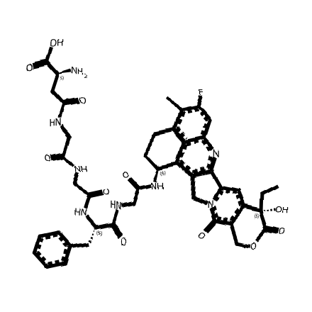 CC[C@@]1(O)C(=O)OCc2c1cc1n(c2=O)Cc2c-1nc1cc(F)c(C)c3c1c2[C@@H](NC(=O)CNC(=O)[C@H](Cc1ccccc1)NC(=O)CNC(=O)CNC(=O)C[C@H](N)C(=O)O)CC3